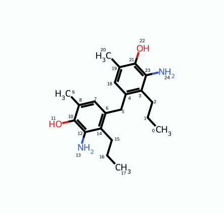 CCCc1c(Cc2cc(C)c(O)c(N)c2CCC)cc(C)c(O)c1N